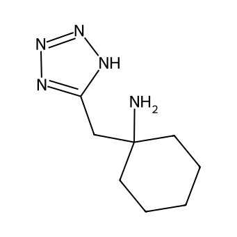 NC1(Cc2nnn[nH]2)CCCCC1